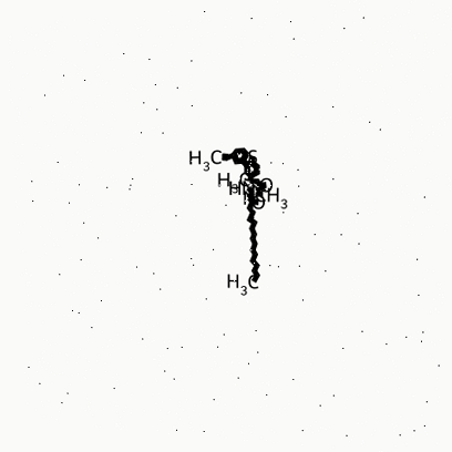 CC#Cc1ccc2sc3ccc([C@]4(C)CC(=O)N(C)/C(=N\C(=O)CCCCCCCCCCCCCCC)N4)cc3c2c1